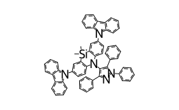 C[Si]1(C)c2cc(-n3c4ccccc4c4ccccc43)ccc2N(c2c(-c3ccccc3)nn(-c3ccccc3)c2-c2ccccc2)c2ccc(-n3c4ccccc4c4ccccc43)cc21